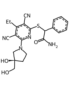 CCc1c(C#N)c(SC(C(N)=O)c2ccccc2)nc(N2CC[C@](O)(CO)C2)c1C#N